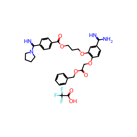 N=C(N)c1ccc(OCC(=O)OCc2ccccc2)c(OCCCOC(=O)c2ccc(C(=N)N3CCCC3)cc2)c1.O=C(O)C(F)(F)F